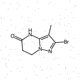 Cc1c(Br)nn2c1NC(=O)CC2